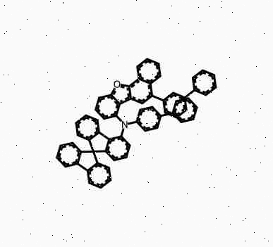 c1ccc(-c2ccc(N(c3cccc4c3-c3ccccc3C43c4ccccc4-c4ccccc43)c3cccc4oc5c6ccccc6c(-c6cccc(-c7ccccc7)c6)cc5c34)cc2)cc1